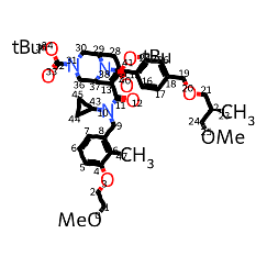 COCCOc1cccc(CN(C(=O)C2=C(c3ccc(COC[C@@H](C)COC)cc3)CC3CN(C(=O)OC(C)(C)C)CC2N3C(=O)OC(C)(C)C)C2CC2)c1C